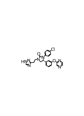 O=C1N(CCc2nc[nH]n2)C[C@H](c2cccc(Oc3cnccn3)c2)N1c1ccc(Cl)cc1